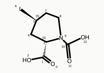 O=C(O)[C@@H]1C[C@@H](I)CCN1C(=O)O